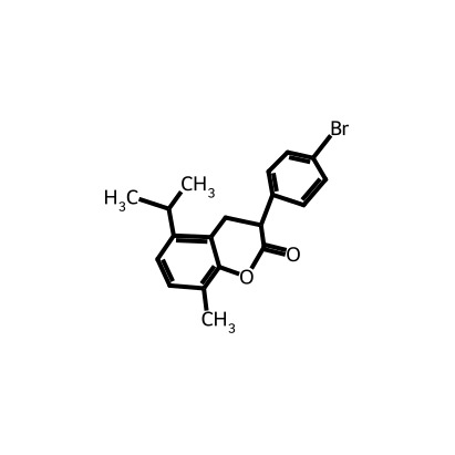 Cc1ccc(C(C)C)c2c1OC(=O)C(c1ccc(Br)cc1)C2